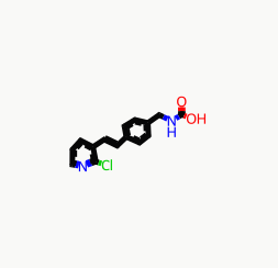 O=C(O)NCc1ccc(C=Cc2cccnc2Cl)cc1